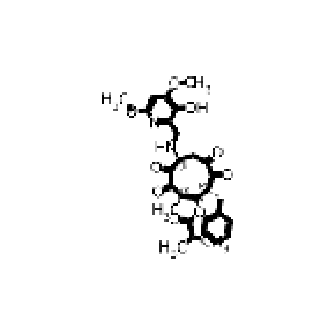 COc1cc(OC)c(O)c(CN[C@H]2CC(=O)C(=O)[C@H](Cc3ccccc3)[C@H](OC(=O)C(C)C)[C@H](C)C(=O)C2=O)n1